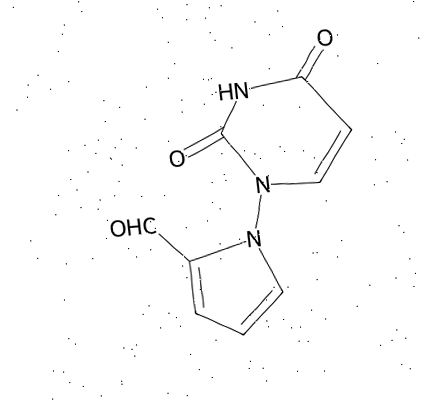 O=Cc1cccn1-n1ccc(=O)[nH]c1=O